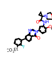 CCOC(=O)c1cccc(-c2ccc3c(=O)n(-c4ccc(OC(F)(F)F)c(NC(=O)C5(N6CCOCC6)CC5)c4)cnc3c2)c1F